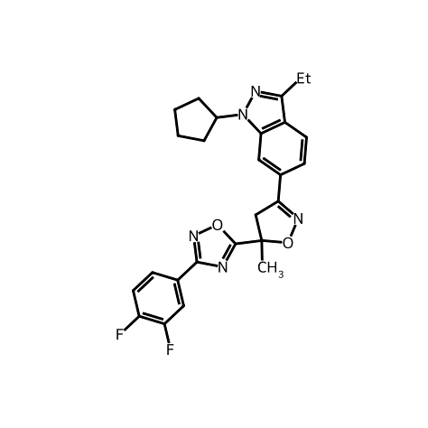 CCc1nn(C2CCCC2)c2cc(C3=NOC(C)(c4nc(-c5ccc(F)c(F)c5)no4)C3)ccc12